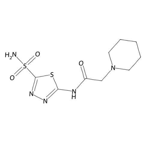 NS(=O)(=O)c1nnc(NC(=O)CN2CCCCC2)s1